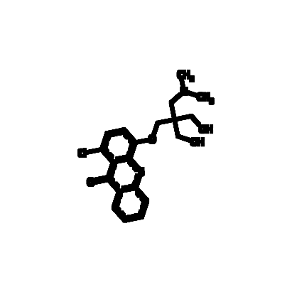 CN(C)CC(CO)(CO)COc1ccc(Cl)c2c(=O)c3ccccc3sc12